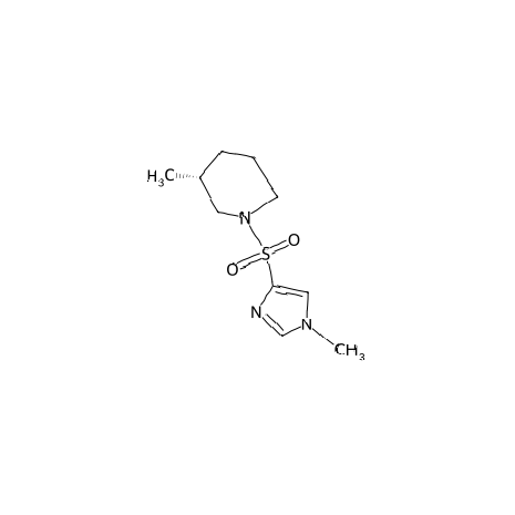 C[C@@H]1CCCN(S(=O)(=O)c2cn(C)cn2)C1